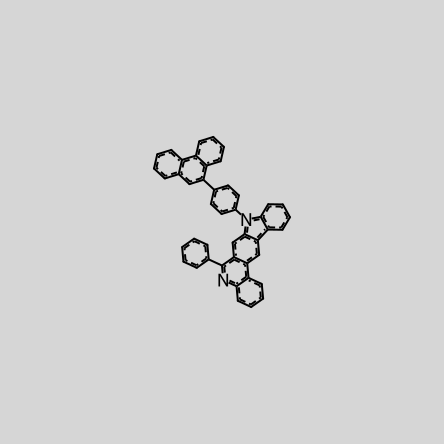 c1ccc(-c2nc3ccccc3c3cc4c5ccccc5n(-c5ccc(-c6cc7ccccc7c7ccccc67)cc5)c4cc23)cc1